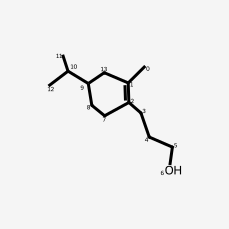 CC1=C(CCCO)CCC(C(C)C)C1